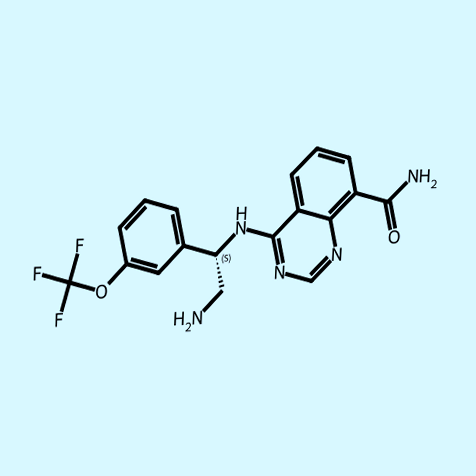 NC[C@@H](Nc1ncnc2c(C(N)=O)cccc12)c1cccc(OC(F)(F)F)c1